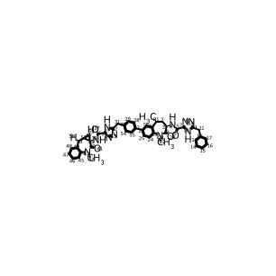 C[C@H]1C[C@@H](NC(=O)c2nnc(Cc3ccccc3)[nH]2)C(=O)N(C)c2ccc(-c3ccc(Cc4nnc(C(=O)N[C@]56C(=O)N(C)c7ccccc7[C@@H]7C5[C@@H]76)[nH]4)cc3)cc21